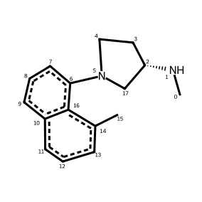 CN[C@H]1CCN(c2cccc3cccc(C)c23)C1